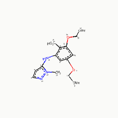 COCOc1cc(Nc2ccnn2C)c(C(=O)O)c(OCOC)c1